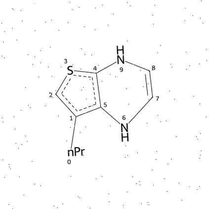 CCCc1csc2c1NC=CN2